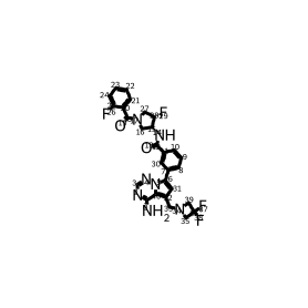 Nc1ncnn2c(-c3cccc(C(=O)N[C@@H]4CN(C(=O)c5ccccc5F)C[C@@H]4F)c3)cc(CN3CC(F)(F)C3)c12